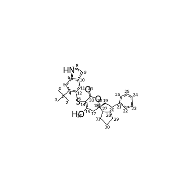 CC(C)(C)c1cc2[nH]ccc2cc1SC1=C(O)C[C@@](CCc2ccccc2)(C2CCCC2)OC1=O